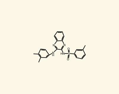 Cc1cccc(S(=O)(=O)Nc2nc3ccccc3nc2Nc2ccc(C)c(C)c2)c1